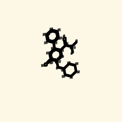 CN(C)C(=O)c1cn(CC2CCCCC2)c(=O)cc1-c1ccccc1